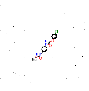 CC(C)(C)OC(=O)NC[C@H]1CC[C@H](NC(=O)COc2ccc(Cl)cc2)CC1